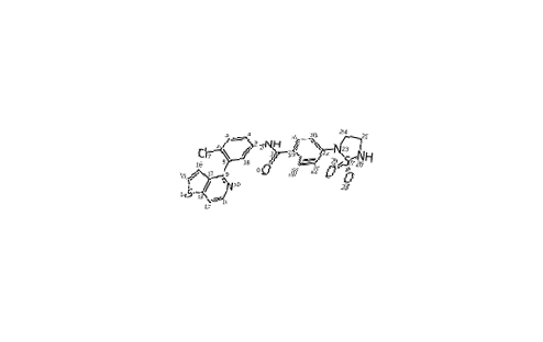 O=C(Nc1ccc(Cl)c(-c2nccc3sccc23)c1)c1ccc(N2CCNS2(=O)=O)cc1